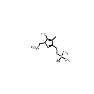 CCOC(=O)Cn1nc(CO[Si](C)(C)C(C)(C)C)c(I)c1C